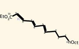 CCCCCCCCCCCC=CC=C/C=C/C(=O)OCC